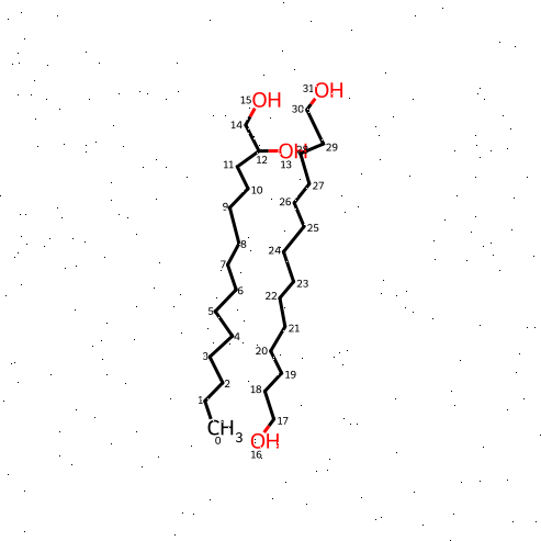 CCCCCCCCCCCCC(O)CO.OCCCCCCCCCCCCCCO